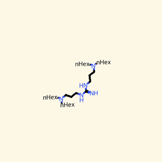 CCCCCCN(CCCCCC)CCCNC(=N)NCCCN(CCCCCC)CCCCCC